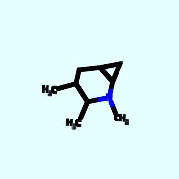 CC1CC2CC2N(C)C1C